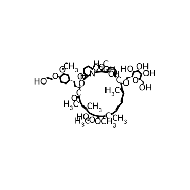 CO[C@@H]1C[C@H](CC[C@@H]2CC(=O)[C@H](C)/C=C(\C)[C@@H](O)[C@@H](OC)C(=O)[C@H](C)C[C@H](C)/C=C/C=C/C=C(\C)[C@@H](OC[C@@H]3O[C@H](CO)[C@@H](O)[C@H](O)[C@H]3O)C[C@@H]3CC[C@@H](C)[C@@](O)(O3)C(=O)C(=O)N3CCCC[C@H]3C(=O)O2)CC[C@H]1OCCO